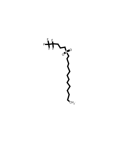 [CH2]CCCCCCCCCCCCS(=O)(=O)CCCC(F)(F)C(F)(F)F